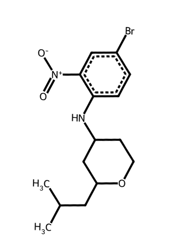 CC(C)CC1CC(Nc2ccc(Br)cc2[N+](=O)[O-])CCO1